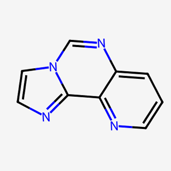 c1cnc2c(c1)ncn1ccnc21